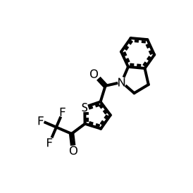 O=C(c1ccc(C(=O)C(F)(F)F)s1)N1CCc2ccccc21